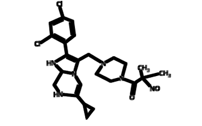 CC(C)(N=O)C(=O)N1CCN(CC2=C(c3ccc(Cl)cc3Cl)NC3CNC(C4CC4)=CN23)CC1